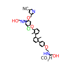 Cc1c(COc2cc(OCc3cncc(C#N)c3)c(CNCO)cc2Cl)cccc1-c1cccc(-c2ccc(OCCN[C@@H](CO)C(=O)O)cc2)c1C